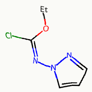 CCO/C(Cl)=N\n1cccn1